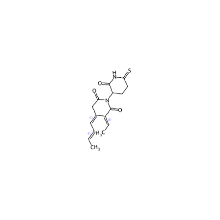 C/C=C/C=C1/CC(=O)N(C2CCC(=S)NC2=O)C(=O)/C1=C/C